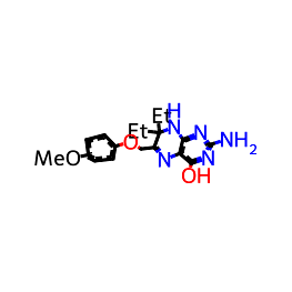 CCC1(CC)Nc2nc(N)nc(O)c2N=C1COc1ccc(OC)cc1